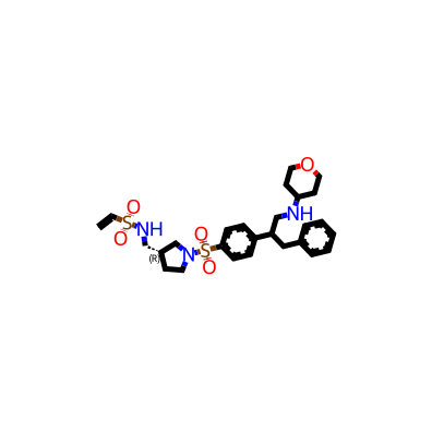 C=CS(=O)(=O)NC[C@H]1CCN(S(=O)(=O)c2ccc(C(CNC3CCOCC3)Cc3ccccc3)cc2)C1